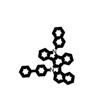 c1ccc(-c2ccc(-n3c4ccc5ccccc5c4c4c5ccccc5c5c(c6ccccc6n5-c5ccc6ccccc6c5)c43)cc2)cc1